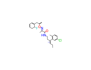 C=C(CC1=CC=CCC1F)O/N=C(\C)C(=O)NCC/C(=C/CC)c1cc(Cl)ccc1C